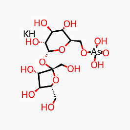 O=[As](O)(O)OC[C@H]1O[C@H](O[C@]2(CO)O[C@H](CO)[C@@H](O)[C@@H]2O)[C@H](O)[C@@H](O)[C@@H]1O.[KH]